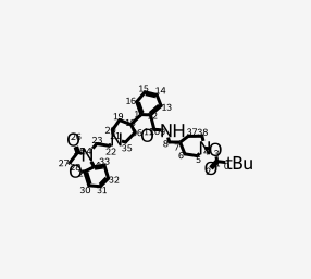 CC(C)(C)C(=O)ON1CCC(CNC(=O)c2ccccc2C2CCN(CCN3C(=O)COc4ccccc43)CC2)CC1